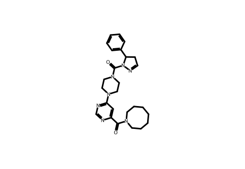 O=C(c1cc(N2CCN(C(=O)N3N=CCC3c3ccccc3)CC2)ncn1)N1CCCCCCC1